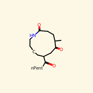 CCCCCC(=O)C1CCCCNC(=O)CCC(C)C(=O)C1